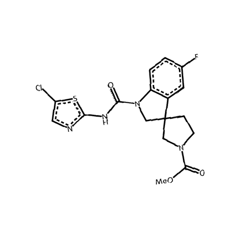 COC(=O)N1CCC2(C1)CN(C(=O)Nc1ncc(Cl)s1)c1ccc(F)cc12